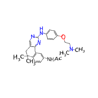 CC(=O)Nc1ccc2c(c1)-c1nc(Nc3ccc(OCCN(C)C)cc3)ncc1CC2(C)C